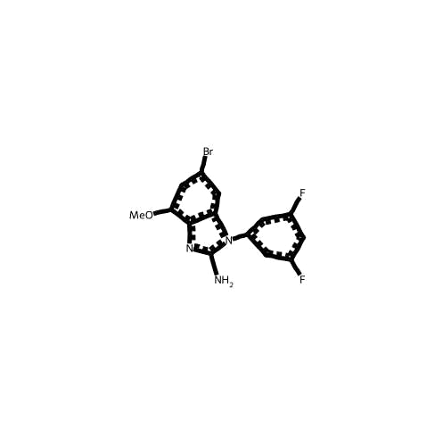 COc1cc(Br)cc2c1nc(N)n2-c1cc(F)cc(F)c1